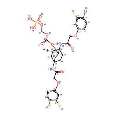 O=C(COc1ccc(Cl)c(F)c1)NC12CCC(NC(=O)COc3ccc(Cl)c(F)c3)(CC1)[C@H](OC(=O)OCOP(=O)(O)O)C2